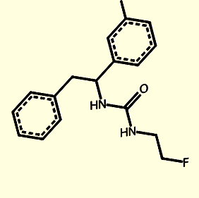 O=C(NCCF)NC(Cc1ccccc1)c1cccc(Cl)c1